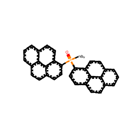 CCCCP(=O)(c1ccc2ccc3cccc4ccc1c2c34)c1ccc2ccc3cccc4ccc1c2c34